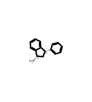 N[C@H]1C[C@@H](c2ccccc2)c2ccccc21